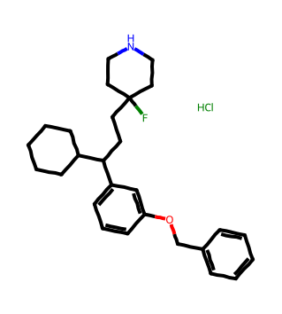 Cl.FC1(CCC(c2cccc(OCc3ccccc3)c2)C2CCCCC2)CCNCC1